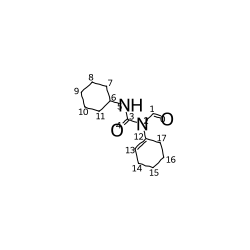 O=CN(C(=O)NC1CCCCC1)C1=CCCCC1